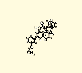 CCOc1cccc(-c2ccc3c(c2)CCC2(CC2)[C@@H]3N(C(=O)O)C2CN3CCC2CC3)c1